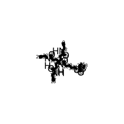 C#CCNC(=O)CCC(CCC(=O)NCC#C)(CCC(=O)NCC#C)NC(=O)CCCCOP(=O)(CC)SC